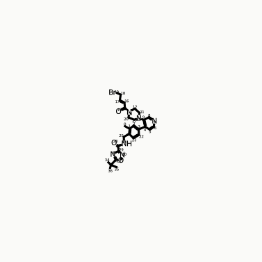 Cc1cc(-c2ccncc2N2CCN(C(=O)/C=C/CBr)CC2)ccc1CNC(=O)c1noc(C(C)(C)C)n1